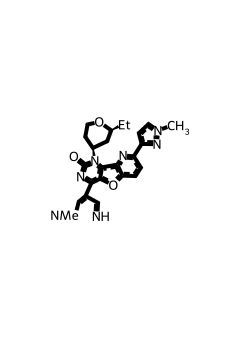 CC[C@H]1C[C@@H](n2c(=O)nc(/C(C=N)=C/NC)c3oc4ccc(-c5ccn(C)n5)nc4c32)CCO1